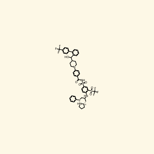 O=C(NS(=O)(=O)c1ccc(NC(CSc2ccccc2)C[C@@H]2CCCN2)c(S(=O)(=O)C(F)(F)F)c1)c1ccc(N2CCC(C(O)c3ccccc3-c3ccc(C(F)(F)F)cc3)CC2)cc1